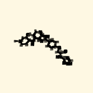 CN1CCC(Nc2c(Cl)cnc3[nH]c(-c4ccc(OCC(=O)Nc5nc[nH]n5)cc4)nc23)CC1